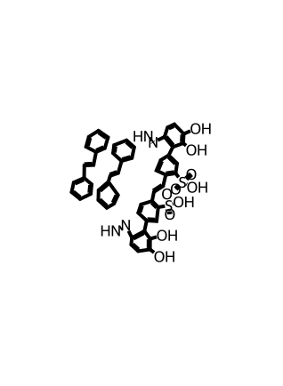 C(=Cc1ccccc1)c1ccccc1.C(=Cc1ccccc1)c1ccccc1.N=Nc1ccc(O)c(O)c1-c1ccc(C=Cc2ccc(-c3c(N=N)ccc(O)c3O)cc2S(=O)(=O)O)c(S(=O)(=O)O)c1